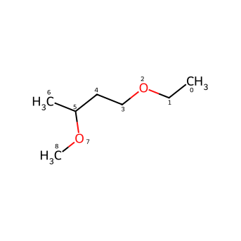 CCOCCC(C)OC